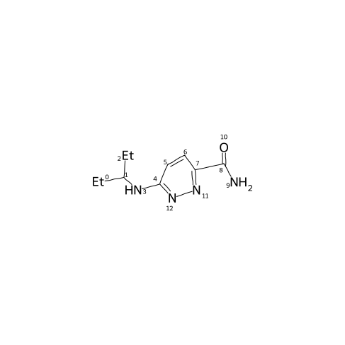 CCC(CC)Nc1ccc(C(N)=O)nn1